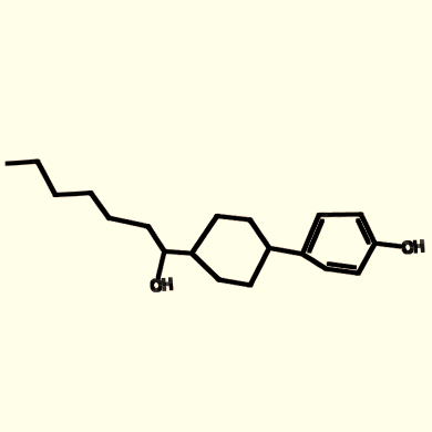 CCCCCCC(O)C1CCC(c2ccc(O)cc2)CC1